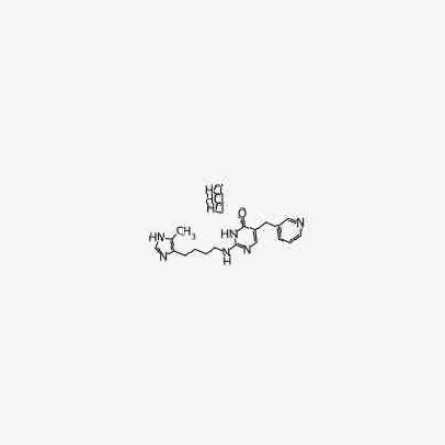 Cc1[nH]cnc1CCCCNc1ncc(Cc2cccnc2)c(=O)[nH]1.Cl.Cl.Cl